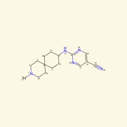 [2H]N1CCC2(CCC(Nc3ncc(C#N)cn3)CC2)CC1